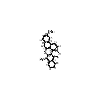 Cc1c2c(c(C(C)C)c3ccccc13)Sc1cc3ccc(C(C)(C)C)cc3c3cc[n+](C)c-2c13